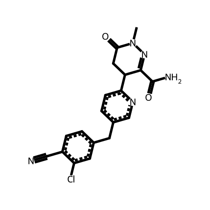 CN1N=C(C(N)=O)C(c2ccc(Cc3ccc(C#N)c(Cl)c3)cn2)CC1=O